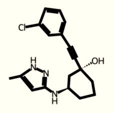 Cc1cc(N[C@@H]2CCC[C@](O)(C#Cc3cccc(Cl)c3)C2)n[nH]1